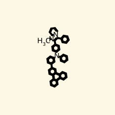 CN1C(c2ccc(N(c3ccccc3)c3cccc(-c4ccc5c6ccccc6c6ccccc6c5c4)c3)cc2)=C(c2ccccc2)N2C=CC=CC12